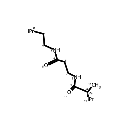 CC(C)CCNC(=O)CCNC(=O)[C@@H](C)C(C)C